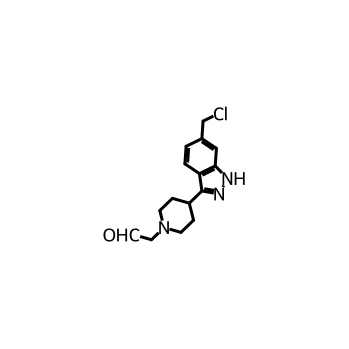 O=CCN1CCC(c2n[nH]c3cc(CCl)ccc23)CC1